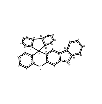 c1ccc2c(c1)Sc1cc3oc4ccccc4c3cc1C21c2ccccc2-c2ccccc21